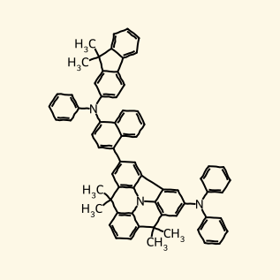 CC1(C)c2ccccc2-c2ccc(N(c3ccccc3)c3ccc(-c4cc5c6c(c4)c4cc(N(c7ccccc7)c7ccccc7)cc7c4n6-c4c(cccc4C7(C)C)C5(C)C)c4ccccc34)cc21